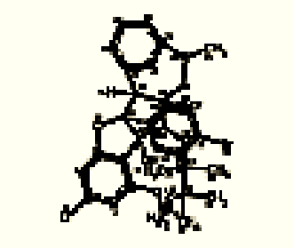 COc1nc(Cl)cc2c1[C@]1(O)[C@H](O[Si](C)(C)C(C)(C)C)[C@@H]3CN(C)c4cccc(c4)[C@H]3[C@]1(c1ccc(Br)cc1)O2